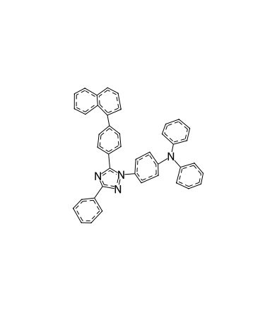 c1ccc(-c2nc(-c3ccc(-c4cccc5ccccc45)cc3)n(-c3ccc(N(c4ccccc4)c4ccccc4)cc3)n2)cc1